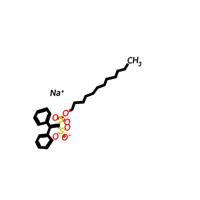 CCCCCCCCCCCCOS(=O)(=O)C(=C(c1ccccc1)c1ccccc1)S(=O)(=O)[O-].[Na+]